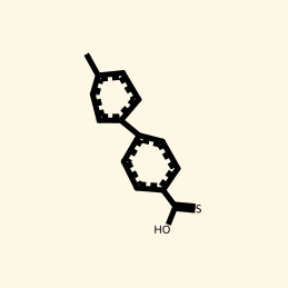 Cc1ccc(-c2ccc(C(O)=S)cc2)cc1